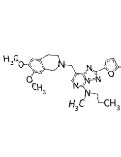 CCCN(C)c1ncc(CN2CCc3cc(OC)c(OC)cc3C2)c2nc(-c3ccco3)nn12